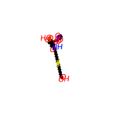 O=C(O)CCCCCCCCCCSSCCCCCCCCCCC(=O)Nc1ccc2c(c1)C(COC(=O)ON1C(=O)CCC1=O)c1cc(S(=O)(=O)O)ccc1-2